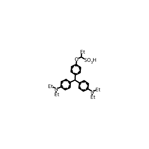 CCC(Oc1ccc(C(c2ccc(N(CC)CC)cc2)c2ccc(N(CC)CC)cc2)cc1)S(=O)(=O)O